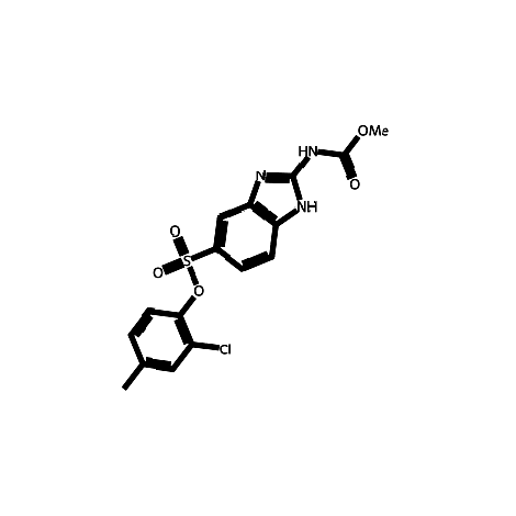 COC(=O)Nc1nc2cc(S(=O)(=O)Oc3ccc(C)cc3Cl)ccc2[nH]1